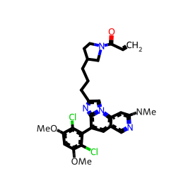 C=CC(=O)N1CCC(CCCc2cn3c(n2)c(-c2c(Cl)c(OC)cc(OC)c2Cl)cc2cnc(NC)cc23)C1